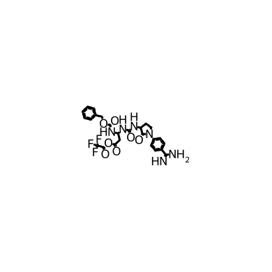 N=C(N)c1ccc(N2CCC(NC(=O)NC(CC(=O)OC(=O)C(F)(F)F)NC(=O)OCc3ccccc3)C2=O)cc1